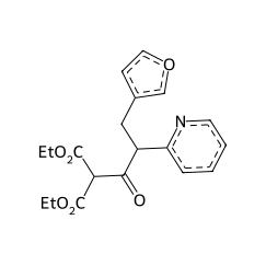 CCOC(=O)C(C(=O)OCC)C(=O)C(Cc1ccoc1)c1ccccn1